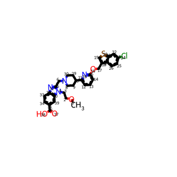 COCCn1c(CN2CCC(c3cccc(OCc4csc5cc(Cl)ccc45)n3)CC2)nc2ccc(C(=O)O)cc21